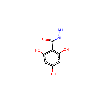 NNC(=O)c1c(O)cc(O)cc1O